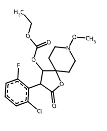 CCOC(=O)OC1C(c2c(F)cccc2Cl)C(=O)OC12CCN(OC)CC2